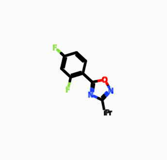 CC(C)c1noc(-c2ccc(F)cc2F)n1